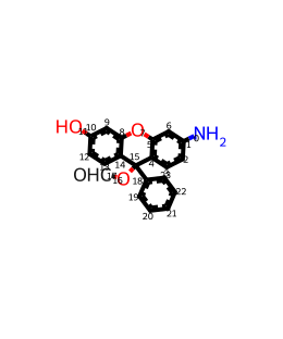 Nc1ccc2c(c1)Oc1cc(O)ccc1C2(OC=O)c1ccccc1